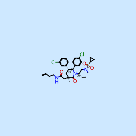 C=CCCNC(=O)C[C@@]1(C)C[C@H](c2cccc(Cl)c2)[C@@H](c2ccc(Cl)cc2)N([C@@H](CC)CN(C)S(=O)(=O)C2CC2)C1=O